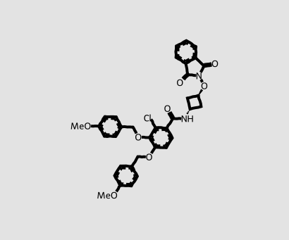 COc1ccc(COc2ccc(C(=O)N[C@H]3C[C@H](ON4C(=O)c5ccccc5C4=O)C3)c(Cl)c2OCc2ccc(OC)cc2)cc1